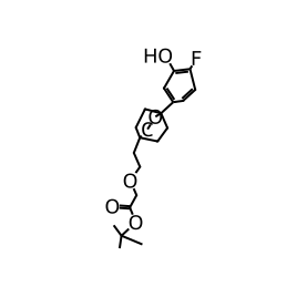 CC(C)(C)OC(=O)COCCC12CCC(c3ccc(F)c(O)c3)(CC1)OC2